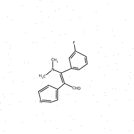 CN(C)C(=C(C=O)c1ccncc1)c1cccc(F)c1